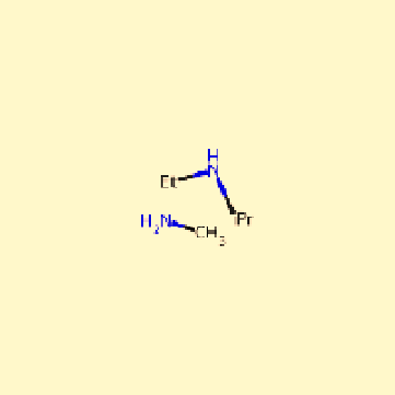 CCNC(C)C.CN